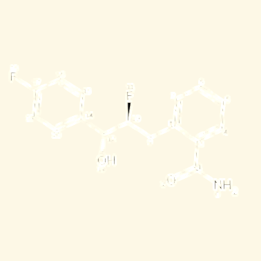 NC(=O)c1ccccc1C[C@H](F)[C@H](O)c1ccc(F)cc1